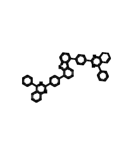 C1=Cc2c(nc(-c3ccc(-c4cccc5sc6c(-c7ccc(-c8nc(-c9ccccc9)c9ccccc9n8)cc7)cccc6c45)cc3)nc2-c2ccccc2)CC1